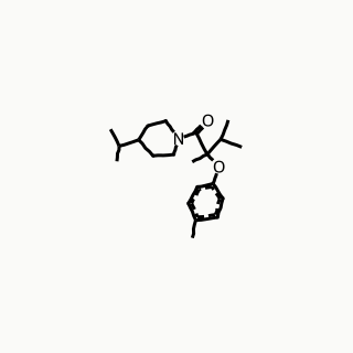 Cc1ccc(OC(C)(C(=O)N2CCC(C(C)C)CC2)C(C)C)cc1